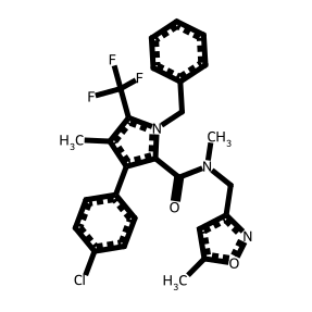 Cc1cc(CN(C)C(=O)c2c(-c3ccc(Cl)cc3)c(C)c(C(F)(F)F)n2Cc2ccccc2)no1